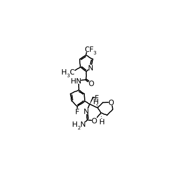 Cc1cc(C(F)(F)F)cnc1C(=O)Nc1ccc(F)c([C@@]2(CF)N=C(N)O[C@@H]3CCOC[C@@H]32)c1